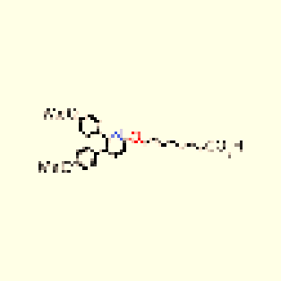 COc1ccc(-c2ccc(OCCCCCCCC(=O)O)nc2-c2ccc(OC)cc2)cc1